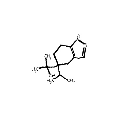 CC(C)C1(C(C)(C)C)CCc2[nH]ncc2C1